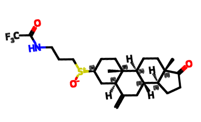 C=C1C[C@@H]2[C@H](CC[C@]3(C)C(=O)CC[C@@H]23)[C@@]2(C)CC[C@H]([S+]([O-])CCCNC(=O)C(F)(F)F)C[C@H]12